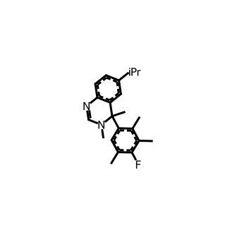 Cc1cc(C2(C)c3cc(C(C)C)ccc3N=CN2C)c(C)c(C)c1F